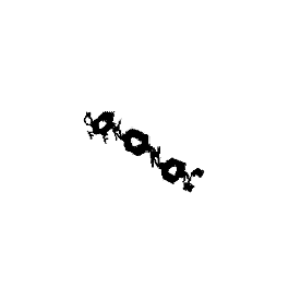 CCN(CC)c1ccc(N=Nc2ccc(N=Nc3ccc(OC)c(F)c3F)cc2)cc1